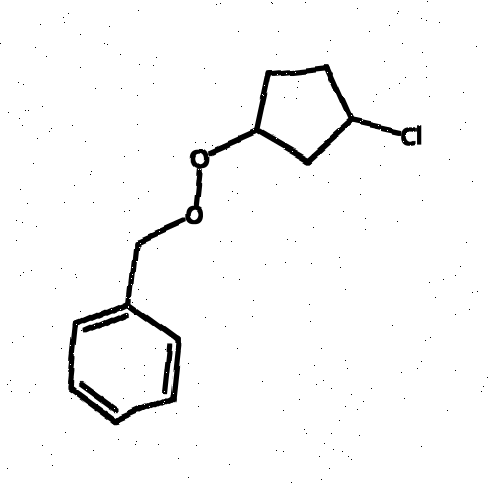 ClC1CCC(OOCc2ccccc2)C1